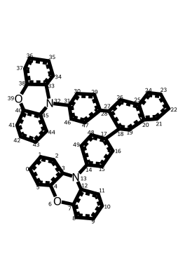 c1ccc2c(c1)Oc1ccccc1N2c1ccc(-c2cc3ccccc3cc2-c2ccc(N3c4ccccc4Oc4ccccc43)cc2)cc1